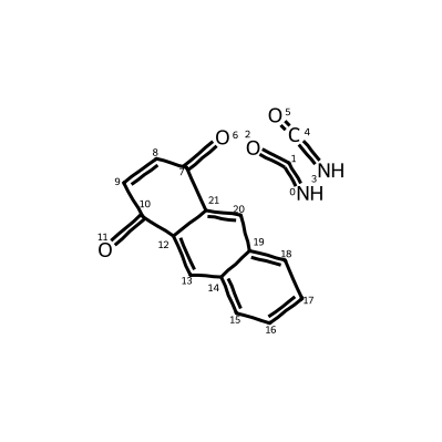 N=C=O.N=C=O.O=C1C=CC(=O)c2cc3ccccc3cc21